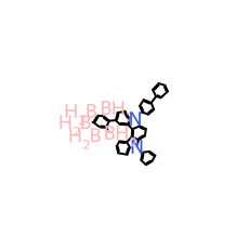 Bc1c(B)c(B)c(-c2ccc3c(c2)c2c4c5ccccc5n(-c5ccccc5)c4ccc2n3-c2ccc(-c3ccccc3)cc2)c(B)c1B